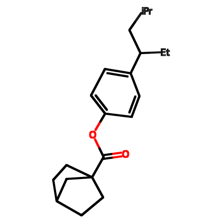 CCC(CC(C)C)c1ccc(OC(=O)C23CCC(CC2)C3)cc1